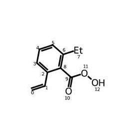 C=Cc1cccc(CC)c1C(=O)OO